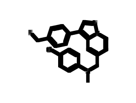 CN(Cc1ccn2ncc(-c3ccc(CF)cc3)c2c1)c1ccc(Cl)cc1